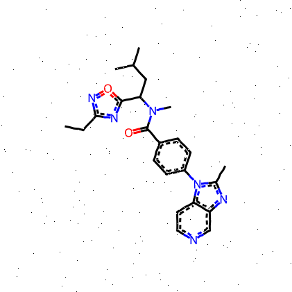 CCc1noc(C(CC(C)C)N(C)C(=O)c2ccc(-n3c(C)nc4cnccc43)cc2)n1